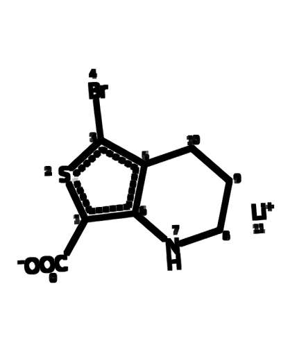 O=C([O-])c1sc(Br)c2c1NCCC2.[Li+]